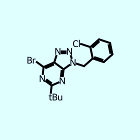 CC(C)(C)c1nc(Br)c2nnn(Cc3ccccc3Cl)c2n1